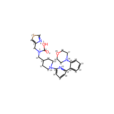 O=C(O)N(Cc1cscn1)CC1CCN(c2cccc(-c3ccccc3N3CCOCC3)n2)CC1